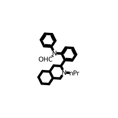 CCCN1CC2CCCCC2CC1c1ccccc1N(C=O)c1ccccc1